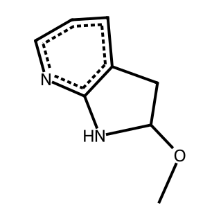 COC1Cc2cccnc2N1